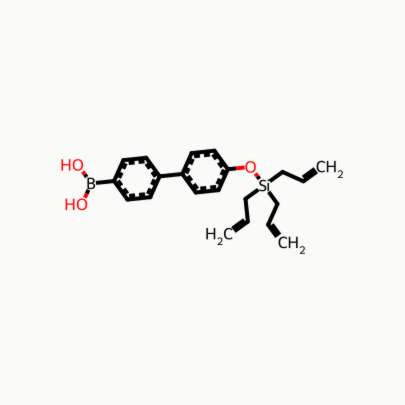 C=CC[Si](CC=C)(CC=C)Oc1ccc(-c2ccc(B(O)O)cc2)cc1